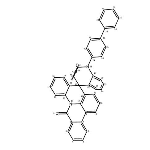 O=c1c2ccccc2c2cccc3c2n1-c1ccccc1C31c2ccccc2N(c2ccc(-c3ccccc3)cc2)c2ccccc21